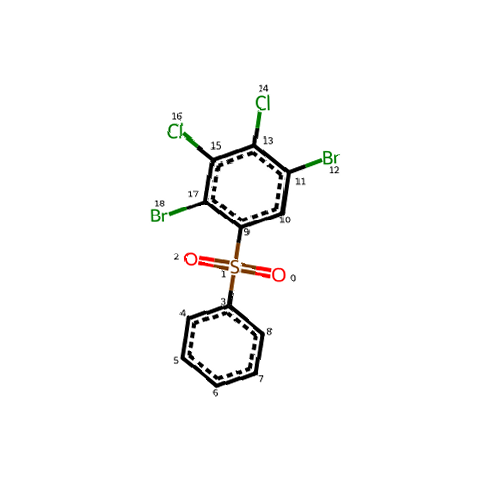 O=S(=O)(c1ccccc1)c1cc(Br)c(Cl)c(Cl)c1Br